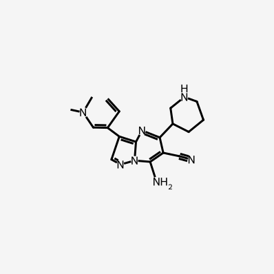 C=C/C(=C\N(C)C)c1cnn2c(N)c(C#N)c(C3CCCNC3)nc12